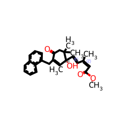 COC(=O)/C=C(C)\C=C\[C@@]1(O)C(C)=C(Cc2cccc3ccccc23)C(=O)CC1(C)C